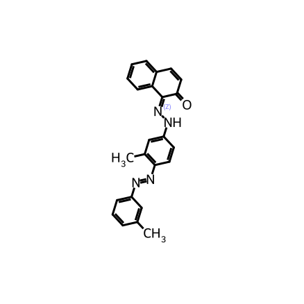 Cc1cccc(N=Nc2ccc(N/N=C3\C(=O)C=Cc4ccccc43)cc2C)c1